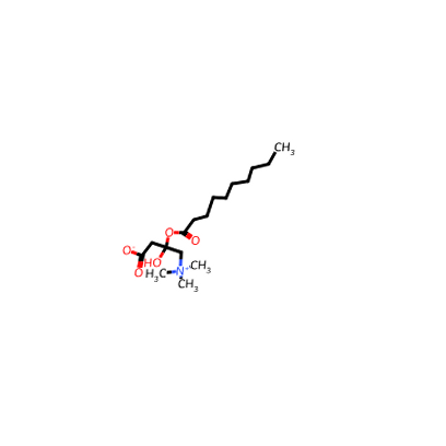 CCCCCCCCCC(=O)OC(O)(CC(=O)[O-])C[N+](C)(C)C